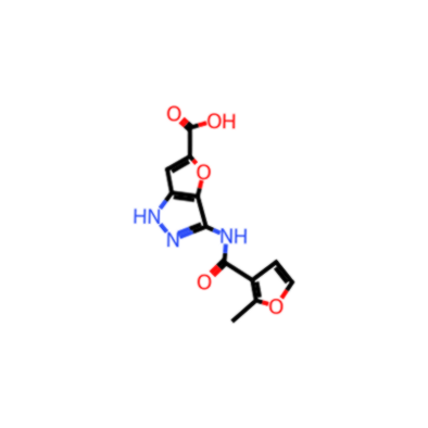 Cc1occc1C(=O)Nc1n[nH]c2cc(C(=O)O)oc12